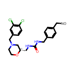 O=NCc1ccc(CNC(=O)NC[C@H]2CN(Cc3ccc(Cl)c(Cl)c3)CCO2)cc1